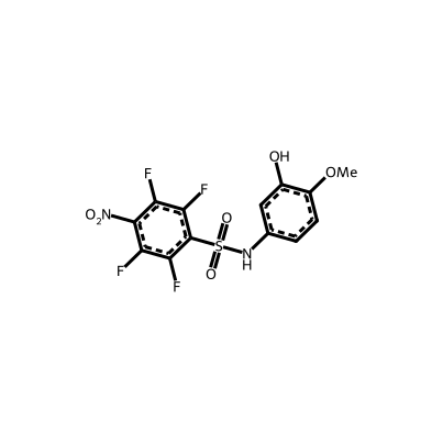 COc1ccc(NS(=O)(=O)c2c(F)c(F)c([N+](=O)[O-])c(F)c2F)cc1O